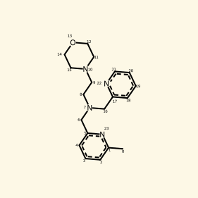 Cc1cccc(CN(CCN2CCOCC2)Cc2ccccn2)n1